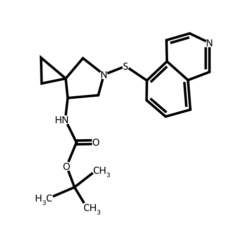 CC(C)(C)OC(=O)NC1CN(Sc2cccc3cnccc23)CC12CC2